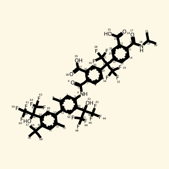 Cc1cc(NC(=O)c2ccc(C(c3ccc(C(=O)NC(C)C)c(C(=O)O)c3)(C(F)(F)F)C(F)(F)F)cc2C(=O)O)c(C(O)(C(F)(F)F)C(F)(F)F)cc1-c1cc(C(O)(C(F)(F)F)C(F)(F)F)c(C(C)(C)C)cc1C